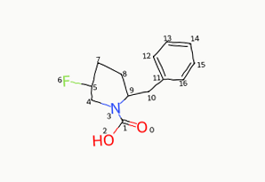 O=C(O)N1CC(F)CCC1Cc1ccccc1